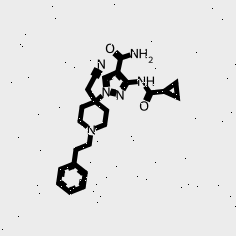 N#CCC1(n2cc(C(N)=O)c(NC(=O)C3CC3)n2)CCN(CCc2ccccc2)CC1